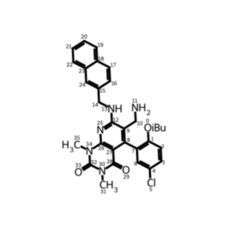 CC(C)COc1ccc(Cl)cc1-c1c(CN)c(NCc2ccc3ccccc3c2)nc2c1c(=O)n(C)c(=O)n2C